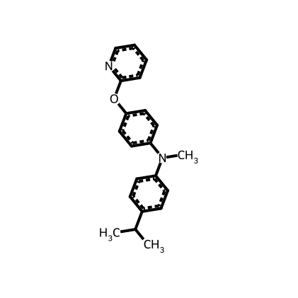 CC(C)c1ccc(N(C)c2ccc(Oc3ccccn3)cc2)cc1